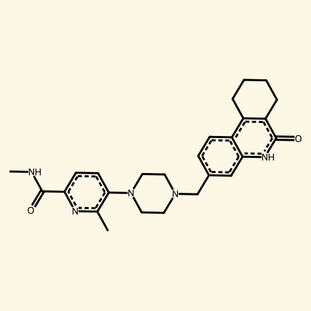 CNC(=O)c1ccc(N2CCN(Cc3ccc4c5c(c(=O)[nH]c4c3)CCCC5)CC2)c(C)n1